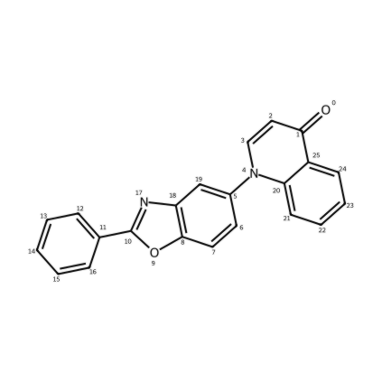 O=c1ccn(-c2ccc3oc(-c4ccccc4)nc3c2)c2ccccc12